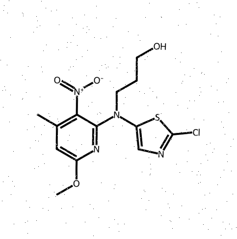 COc1cc(C)c([N+](=O)[O-])c(N(CCCO)c2cnc(Cl)s2)n1